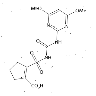 COc1cc(OC)nc(NC(=O)NS(=O)(=O)C2=C(C(=O)O)CCC2)n1